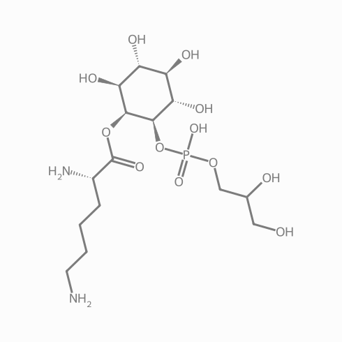 NCCCC[C@H](N)C(=O)O[C@H]1[C@@H](O)[C@H](O)[C@@H](O)[C@H](O)[C@H]1OP(=O)(O)OCC(O)CO